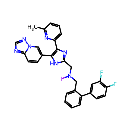 Cc1cccc(-c2nc(CN(I)Cc3ccccc3-c3ccc(F)c(F)c3)[nH]c2-c2ccc3ncnn3c2)n1